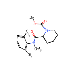 Cc1cccc(C)c1N(C)C(=O)C1CCCCN1C(=O)OC(C)(C)C